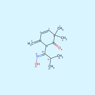 C=C1C=CC(C)(C)C(=O)C1/C(=N/O)C(C)C